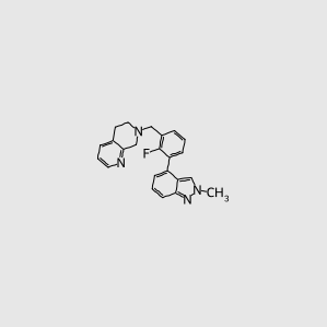 Cn1cc2c(-c3cccc(CN4CCc5cccnc5C4)c3F)cccc2n1